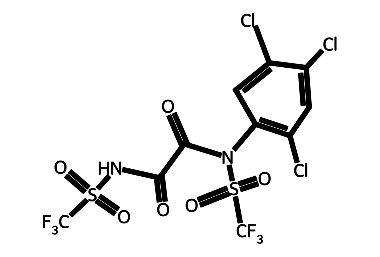 O=C(NS(=O)(=O)C(F)(F)F)C(=O)N(c1cc(Cl)c(Cl)cc1Cl)S(=O)(=O)C(F)(F)F